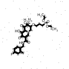 CCOP(=O)(CCCOC1Cn2cc(C(=O)NCc3ccc(F)cc3F)c(=O)c(O)c2C(=O)C1(C)C)OCC